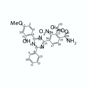 COc1ccc(-c2nc(-c3ccccc3)nc(-c3ccc(C(N)=O)c(S(C)(=O)=O)c3[N+](=O)[O-])n2)c(O)c1